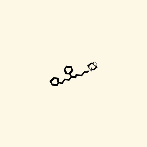 C(CCCCN1CCOCC1)=C(CCCc1ccccc1)c1ccccc1